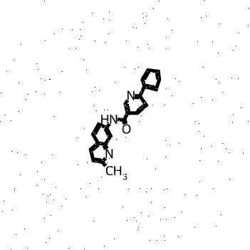 Cc1ccc2ccc(NC(=O)c3ccc(-c4ccccc4)nc3)cc2n1